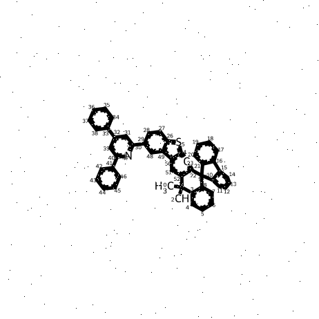 CC1(C)c2ccccc2C2(c3ccccc3-c3ccccc32)c2cc3sc4ccc(-c5cc(-c6ccccc6)cc(-c6ccccc6)n5)cc4c3cc21